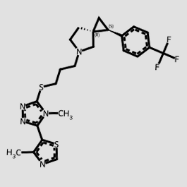 Cc1ncsc1-c1nnc(SCCCN2CC[C@@]3(C[C@H]3c3ccc(C(F)(F)F)cc3)C2)n1C